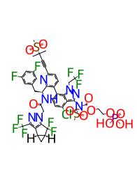 CC(C)(C#Cc1ccc(-c2ccc(Cl)c3c(N(C(=O)OCCOP(=O)(O)O)S(C)(=O)=O)nn(CC(F)(F)F)c23)c([C@H](Cc2cc(F)cc(F)c2)NC(=O)Cn2nc(C(F)(F)F)c3c2C(F)(F)[C@@H]2C[C@H]32)n1)S(C)(=O)=O